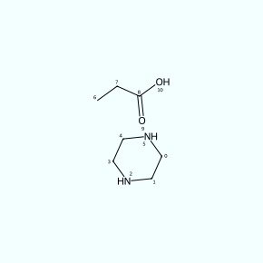 C1CNCCN1.CCC(=O)O